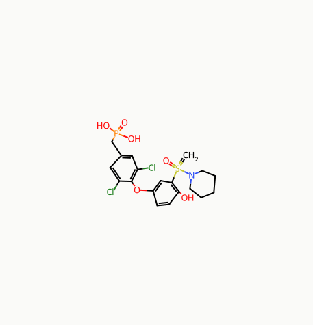 C=S(=O)(c1cc(Oc2c(Cl)cc(CP(=O)(O)O)cc2Cl)ccc1O)N1CCCCC1